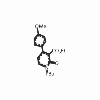 CCCCn1ccc(-c2ccc(OC)cc2)c(C(=O)OCC)c1=O